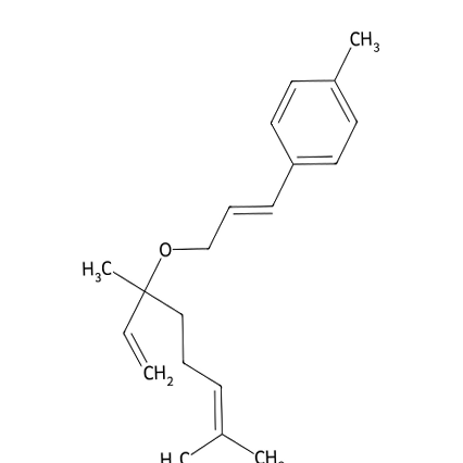 C=CC(C)(CCC=C(C)C)OC/C=C/c1ccc(C)cc1